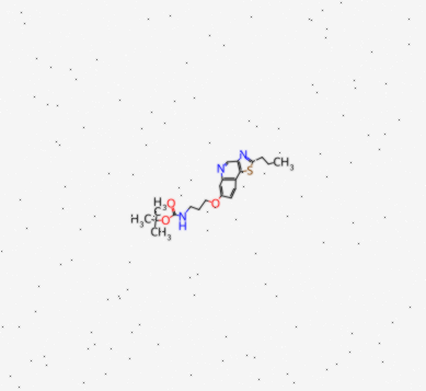 CCCc1nc2cnc3cc(OCCCNC(=O)OC(C)(C)C)ccc3c2s1